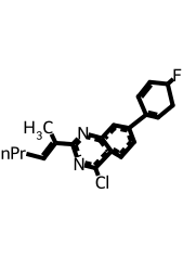 CCC/C=C(\C)c1nc(Cl)c2ccc(C3=CCC(F)C=C3)cc2n1